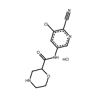 Cl.N#Cc1ncc(NC(=O)C2CNCCO2)cc1Cl